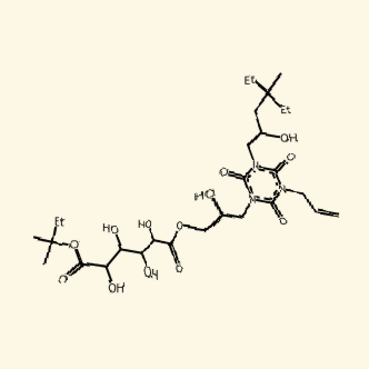 C=CCn1c(=O)n(CC(O)COC(=O)C(O)C(O)C(O)C(O)C(=O)OC(C)(C)CC)c(=O)n(CC(O)CC(C)(CC)CC)c1=O